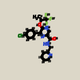 CC(Oc1ncc(C(=O)NCc2ccccn2)nc1-c1ccc(Cl)cc1)C(F)(F)F